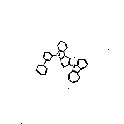 C1=CCc2c(n(-c3ccc4c(c3)c3c(n4-c4cccc(-c5ccccc5)c4)CCC=C3)c3ccccc23)C=C1